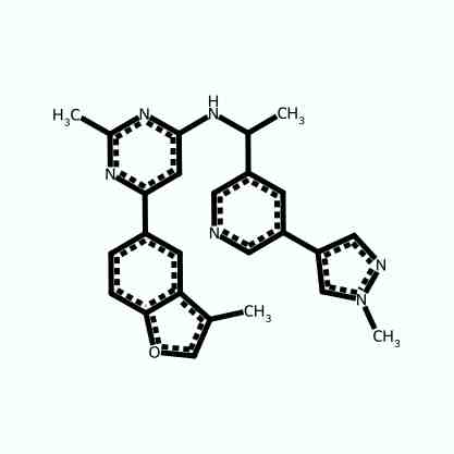 Cc1nc(NC(C)c2cncc(-c3cnn(C)c3)c2)cc(-c2ccc3occ(C)c3c2)n1